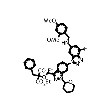 CCOC(=O)C(Cc1ccccc1)(OCc1nn(C2CCCCO2)c2cc(-n3nnc4c(F)cc(NCc5ccc(OC)cc5OC)cc43)ccc12)C(=O)OCC